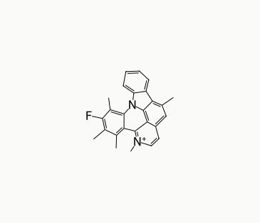 Cc1c(F)c(C)c2c(c1C)c1c3c(cc[n+]1C)cc(C)c1c4ccccc4n2c13